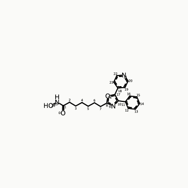 O=C(CCCCCCc1nc(-c2ccccc2)c(-c2ccncc2)o1)NO